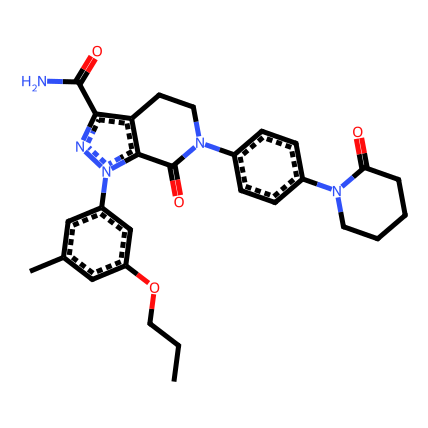 CCCOc1cc(C)cc(-n2nc(C(N)=O)c3c2C(=O)N(c2ccc(N4CCCCC4=O)cc2)CC3)c1